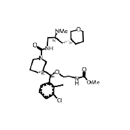 CN[C@H](CNC(=O)N1CCC[C@@H]([C@@H](OCCNC(=O)OC)c2cccc(Cl)c2C)C1)C[C@H]1CCCOC1